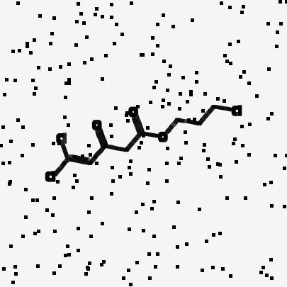 O=C(C=C(Cl)Cl)CC(=O)OCCCCl